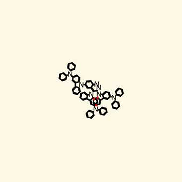 c1ccc(N(c2ccccc2)c2ccc3c(c2)c2ccccc2n3-c2ccc3nnc(-n4c5ccccc5c5cc(N(c6ccccc6)c6ccccc6)ccc54)c(-n4c5ccccc5c5cc(N(c6ccccc6)c6ccccc6)ccc54)c3c2)cc1